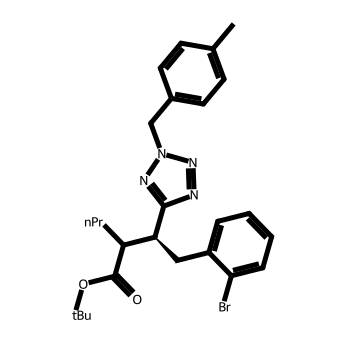 CCCC(C(=O)OC(C)(C)C)[C@H](Cc1ccccc1Br)c1nnn(Cc2ccc(C)cc2)n1